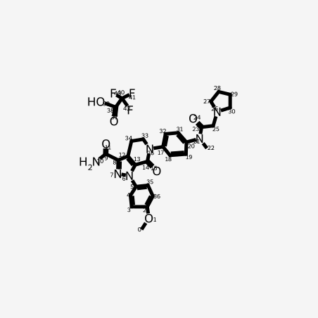 COc1ccc(-n2nc(C(N)=O)c3c2C(=O)N(c2ccc(N(C)C(=O)CN4CCCC4)cc2)CC3)cc1.O=C(O)C(F)(F)F